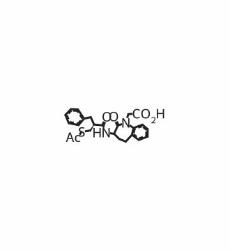 CC(=O)SC[C@@H](Cc1ccccc1)C(=O)NC1CCc2ccccc2N(CC(=O)O)C1=O